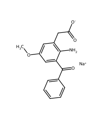 COc1cc(CC(=O)[O-])c(N)c(C(=O)c2ccccc2)c1.[Na+]